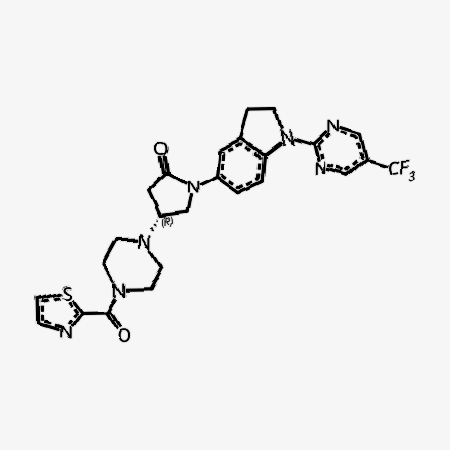 O=C(c1nccs1)N1CCN([C@@H]2CC(=O)N(c3ccc4c(c3)CCN4c3ncc(C(F)(F)F)cn3)C2)CC1